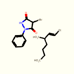 CC/C=C/C(CCCC(=O)O)C(=O)O.CCCCC1C(=O)NN(c2ccccc2)C1=O